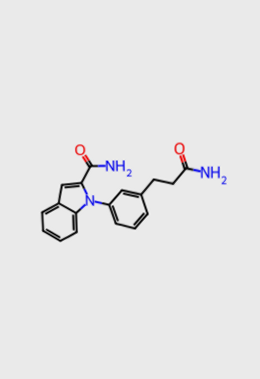 NC(=O)CCc1cccc(-n2c(C(N)=O)cc3ccccc32)c1